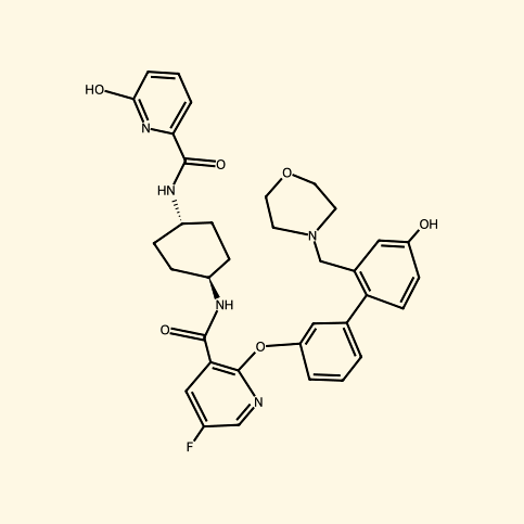 O=C(N[C@H]1CC[C@H](NC(=O)c2cc(F)cnc2Oc2cccc(-c3ccc(O)cc3CN3CCOCC3)c2)CC1)c1cccc(O)n1